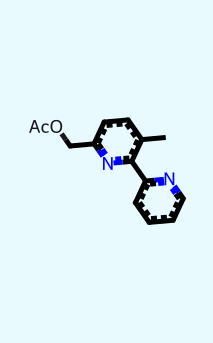 CC(=O)OCc1ccc(C)c(-c2ccccn2)n1